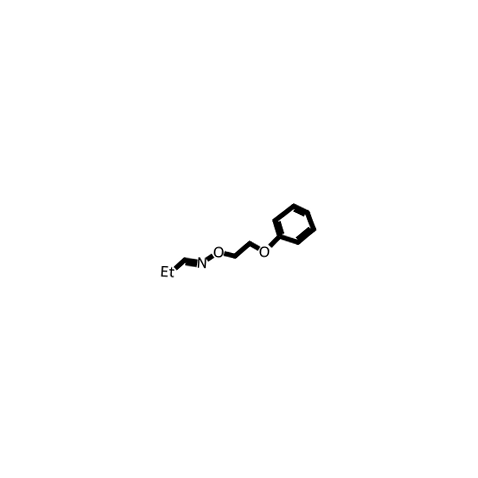 CC/C=N/OCCOc1ccccc1